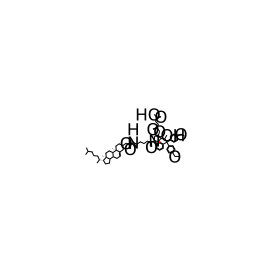 COc1ccc(C(c2ccccc2)(c2ccc(OC)cc2)C(O)C2CN(C(=O)CCCCNC(=O)OC3CC[C@@]4(C)C(=CCC5C4CC[C@@]4(C)C5CC[C@@H]4C(C)CCCC(C)C)C3)CC2OC(=O)CCC(=O)O)cc1